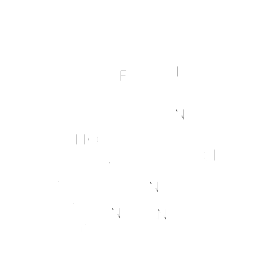 Cn1cnnc1C(O)(c1cc(Cl)nc(C(F)(F)F)c1)C1CC1